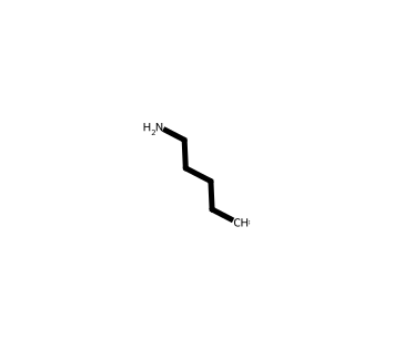 [CH]CCCCN